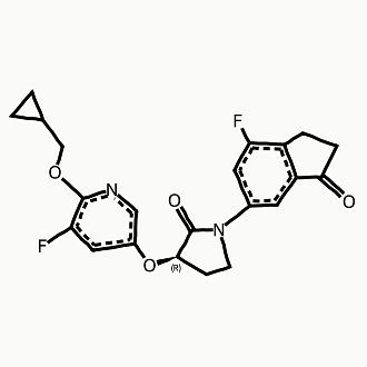 O=C1CCc2c(F)cc(N3CC[C@@H](Oc4cnc(OCC5CC5)c(F)c4)C3=O)cc21